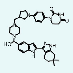 CC1(C)CCc2c(-c3cc4cc(C(O)N5CCN(CC6CCN(c7ccc(N8CCC(=O)NC8=O)cc7)C6)CC5)ccc4[nH]3)n[nH]c2C1